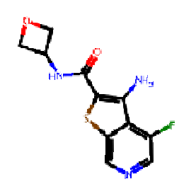 Nc1c(C(=O)NC2COC2)sc2cncc(F)c12